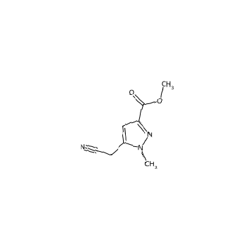 COC(=O)c1cc(CC#N)n(C)n1